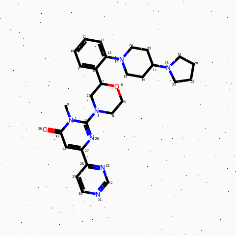 Cn1c(N2CCOC(c3ccccc3N3CCC(N4CCCC4)CC3)C2)nc(-c2ccncn2)cc1=O